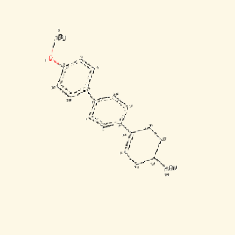 CCCCOc1ccc(-c2ccc(C3=CCC(CCCC)CC3)cc2)cc1